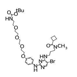 CN(CCCNc1nc(Nc2ccc(OCCOCCOCCOCCNC(=O)OC(C)(C)C)cc2)ncc1Br)C(=O)C1CCC1